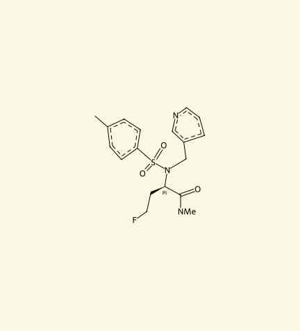 CNC(=O)[C@@H](CCF)N(Cc1cccnc1)S(=O)(=O)c1ccc(C)cc1